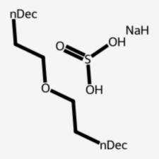 CCCCCCCCCCCCOCCCCCCCCCCCC.O=S(O)O.[NaH]